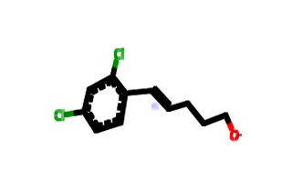 [O]CCC/C=C/c1ccc(Cl)cc1Cl